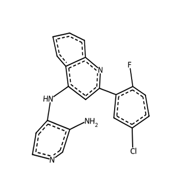 Nc1cnccc1Nc1cc(-c2cc(Cl)ccc2F)nc2ccccc12